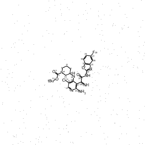 CC(C)(C)OC(=O)N1CCCC(Nc2c(Cl)cnc(N)c2C(=N)C(=O)Nc2nc3cc(F)ccc3o2)C1